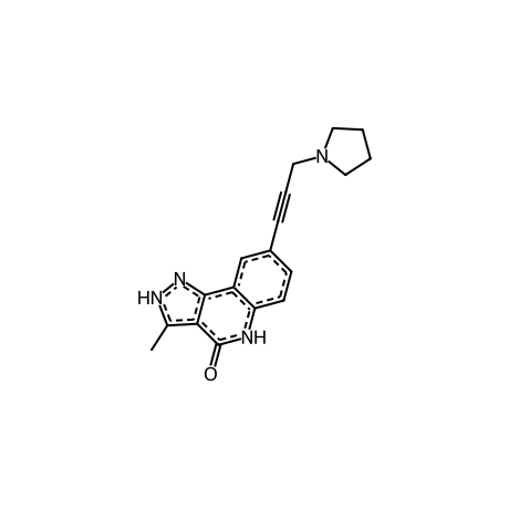 Cc1[nH]nc2c1c(=O)[nH]c1ccc(C#CCN3CCCC3)cc12